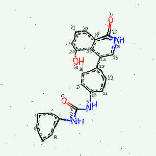 O=C(Nc1ccccc1)Nc1ccc(-c2c[nH]c(=O)c3cccc(O)c23)cc1